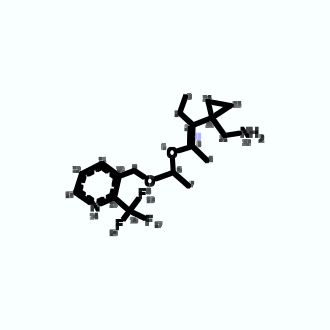 CC/C(=C(/C)OC(C)OCc1cccnc1C(F)(F)F)C1(CN)CC1